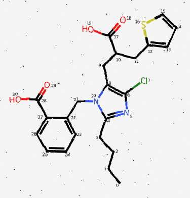 CCCCc1nc(Cl)c(CC(Cc2cccs2)C(=O)O)n1Cc1ccccc1C(=O)O